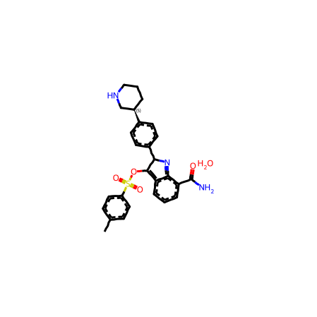 Cc1ccc(S(=O)(=O)OC2=c3cccc(C(N)=O)c3=NC2c2ccc([C@@H]3CCCNC3)cc2)cc1.O